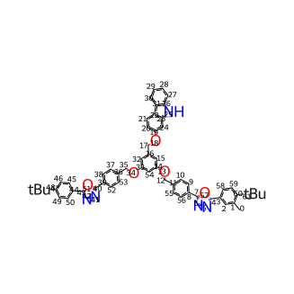 Cc1cc(-c2nnc(-c3ccc(COc4cc(COc5ccc6c(c5)[nH]c5ccccc56)cc(OCc5ccc(-c6nnc(-c7ccc(C(C)(C)C)cc7)o6)cc5)c4)cc3)o2)ccc1C(C)(C)C